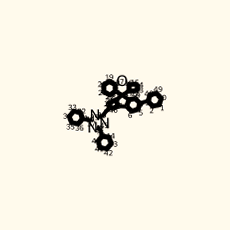 c1ccc(-c2ccc3c(c2)C2(c4ccccc4Oc4ccccc42)c2ccc(-c4nc(-c5ccccc5)nc(-c5ccccc5)n4)cc2-3)cc1